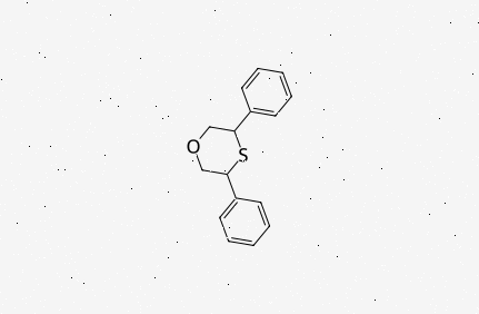 c1ccc(C2COCC(c3ccccc3)S2)cc1